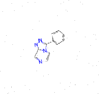 c1ccc(-c2nnc3cnccn23)cc1